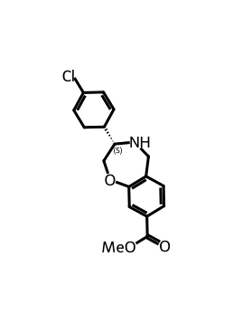 COC(=O)c1ccc2c(c1)OC[C@H](C1C=CC(Cl)=CC1)NC2